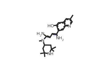 Cc1cnc2cc(/C(N)=C/C=C(\N)N(C)C3CC(C)(C)NC(C)(C)C3)c(O)cc2c1